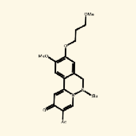 COCCCOc1cc2c(cc1OC)-c1cc(=O)c(C(C)=O)cn1N(C(C)(C)C)C2